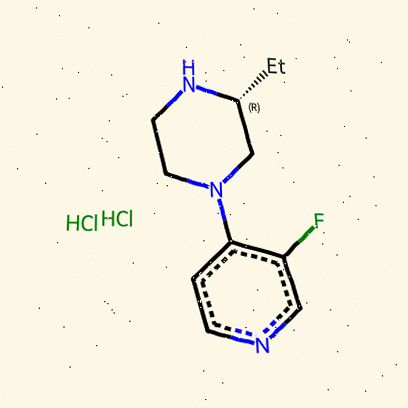 CC[C@@H]1CN(c2ccncc2F)CCN1.Cl.Cl